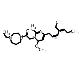 CC/C=C(\C=C/CC1=CC(OC)N(CC(=O)N2CCCN(CC)CC2)C(C)=N1)CC